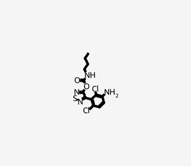 CCCCNC(=O)Oc1nsnc1-c1c(Cl)ccc(N)c1Cl